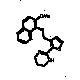 COc1ccc2ccccc2c1SCc1ccsc1C1=NCCCN1